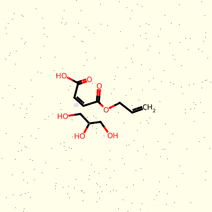 C=CCOC(=O)/C=C\C(=O)O.OCC(O)CO